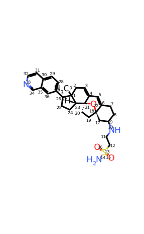 CC12CC=C3C=C4CCC(NCCS(N)(=O)=O)C[C@]45CC[C@]3(O5)[C@@H]1CCC2c1ccc2ccncc2c1